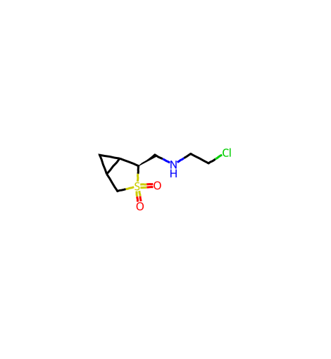 O=S1(=O)CC2CC2[C@H]1CNCCCl